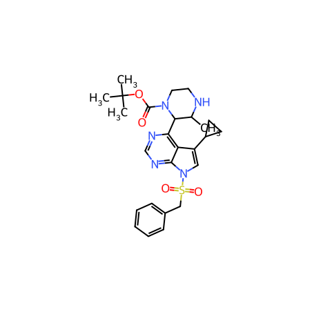 CC1NCCN(C(=O)OC(C)(C)C)C1c1ncnc2c1c(C1CC1)cn2S(=O)(=O)Cc1ccccc1